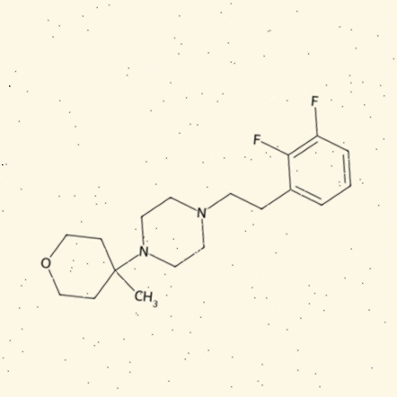 CC1(N2CCN(CCc3cccc(F)c3F)CC2)CCOCC1